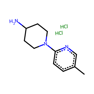 Cc1ccc(N2CCC(N)CC2)nc1.Cl.Cl